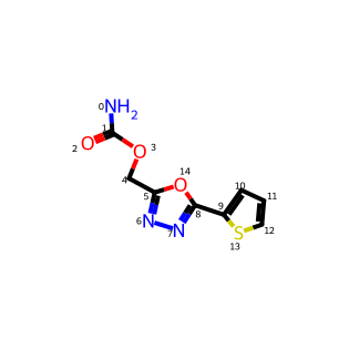 NC(=O)OCc1nnc(-c2cccs2)o1